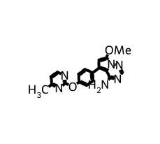 COc1cc(-c2ccc(Oc3nccc(C)n3)cc2)c2c(N)ncnn12